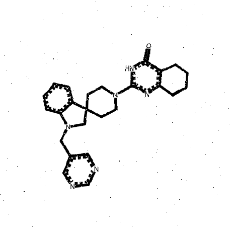 O=c1[nH]c(N2CCC3(CC2)CN(Cc2cncnc2)c2ccccc23)nc2c1CCCC2